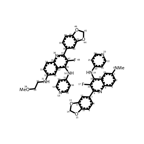 CNc1ccc2nc(-c3ccc4c(c3)OCO4)c(F)c(Nc3ccncc3)c2c1.COCCNc1ccc2nc(-c3ccc4c(c3)OCO4)c(F)c(Nc3ccncc3)c2c1